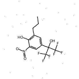 CCCc1cc(C(O)(C(F)(F)F)C(F)(F)F)cc([N+](=O)[O-])c1O